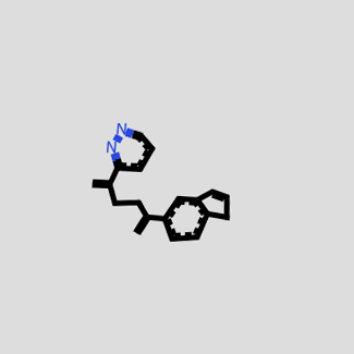 C=C(CCC(=C)c1cccnn1)c1ccc2c(c1)C=CC2